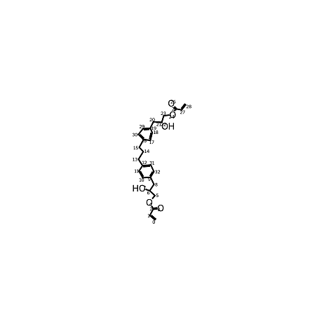 C=CC(=O)OCC(O)Cc1ccc(CCCc2ccc(CC(O)COC(=O)C=C)cc2)cc1